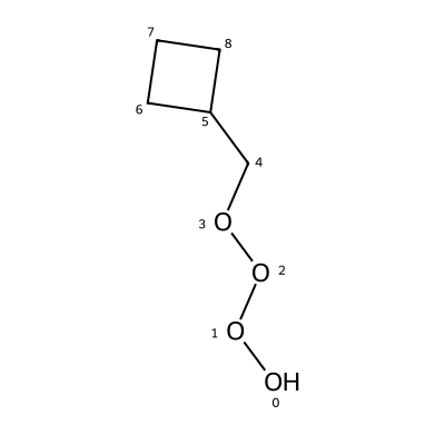 OOOOCC1CCC1